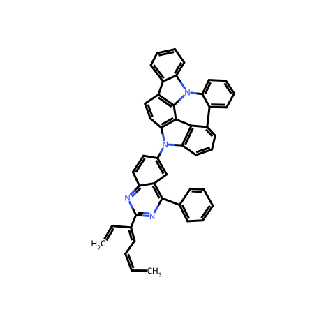 C=C/C(=C\C=C/C)c1nc(-c2ccccc2)c2cc(-n3c4cccc5c6ccccc6n6c7ccccc7c7ccc3c(c54)c76)ccc2n1